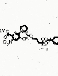 COC(=O)c1nc(N2CCC[C@H]2COCCCC(OCc2ccccc2)(C(=O)O)C(F)(F)F)c(C(F)(F)F)cc1[N+](=O)[O-]